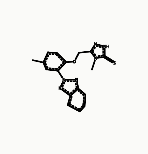 Cc1ccc(OCc2n[nH]c(=S)n2C)c(-n2nc3ccccc3n2)c1